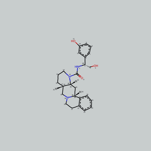 O=C(N[C@@H](CO)c1cccc(O)c1)N1CCC[C@H]2CN3CCc4ccccc4[C@H]3C[C@H]21